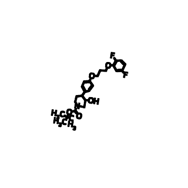 CC(C)(C)OC(=O)N1CCC(c2ccc(OCCCOc3cc(F)ccc3F)cc2)C(O)C1